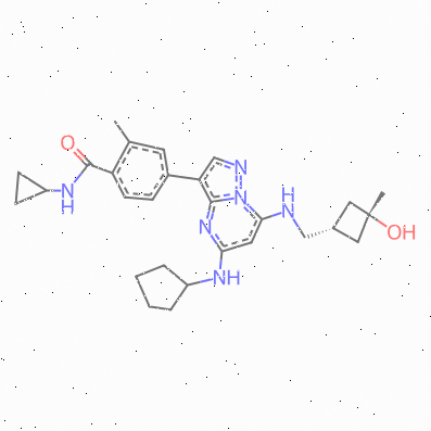 Cc1cc(-c2cnn3c(NC[C@H]4C[C@@](C)(O)C4)cc(NC4CCCC4)nc23)ccc1C(=O)NC1CC1